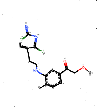 C/C=C(CCNc1cc(C(=O)COC(C)(C)C)ccc1C)\C(Cl)=N/C(=N)Cl